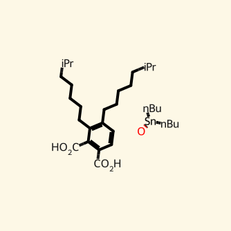 CC(C)CCCCCc1ccc(C(=O)O)c(C(=O)O)c1CCCCCC(C)C.CCC[CH2][Sn](=[O])[CH2]CCC